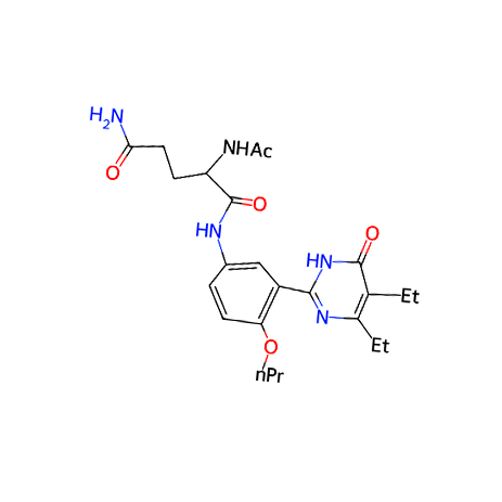 CCCOc1ccc(NC(=O)C(CCC(N)=O)NC(C)=O)cc1-c1nc(CC)c(CC)c(=O)[nH]1